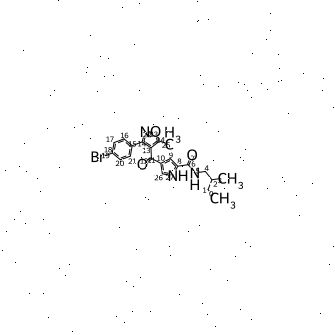 CCC(C)CNC(=O)c1cc(C(=O)c2c(-c3ccc(Br)cc3)noc2C)c[nH]1